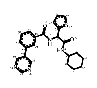 O=C(NC(C(=O)NC1CCCCC1)c1cccs1)c1cccc(-c2cncnc2)c1